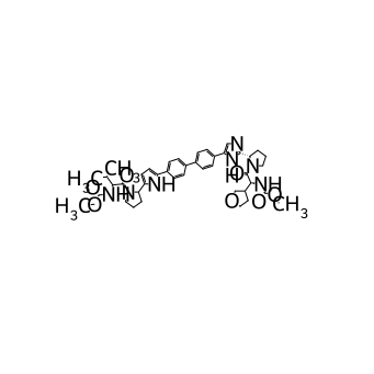 COC(=O)N[C@H](C(=O)N1CCCC1c1ccc(-c2ccc(-c3ccc(-c4cnc([C@@H]5CCCN5C(=O)[C@@H](NC(=O)OC)C5CCOC5)[nH]4)cc3)cc2)[nH]1)C(C)C